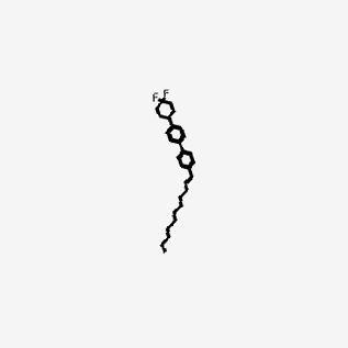 CCCCCCCCC/C=C/c1ccc(-c2ccc(C3CCC(F)(F)CC3)cc2)cc1